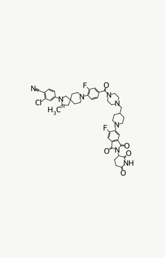 C[C@H]1CC2(CCN(c3ccc(C(=O)N4CCN(CC5CCN(c6cc7c(cc6F)C(=O)N(C6CCC(=O)NC6=O)C7=O)CC5)CC4)cc3F)CC2)CN1c1ccc(C#N)c(Cl)c1